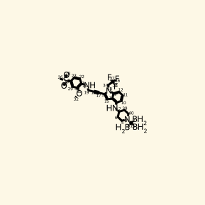 BC(B)(B)N1CCC(Nc2cccc3c2cc(C#CCNc2ccc(S(C)(=O)=O)cc2OC)n3CC(F)(F)F)CC1